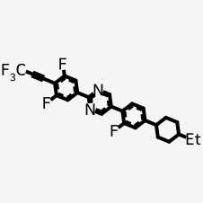 CCC1CCC(c2ccc(-c3cnc(-c4cc(F)c(C#CC(F)(F)F)c(F)c4)nc3)c(F)c2)CC1